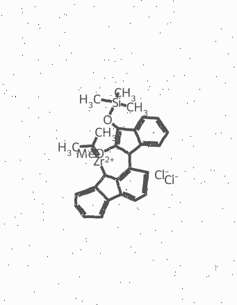 COC1=C(O[Si](C)(C)C)c2ccccc2C1c1cccc2c1[CH]([Zr+2]=[C](C)C)c1ccccc1-2.[Cl-].[Cl-]